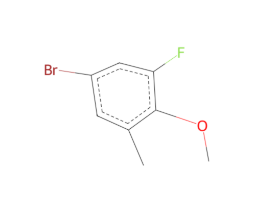 COc1c(C)cc(Br)cc1F